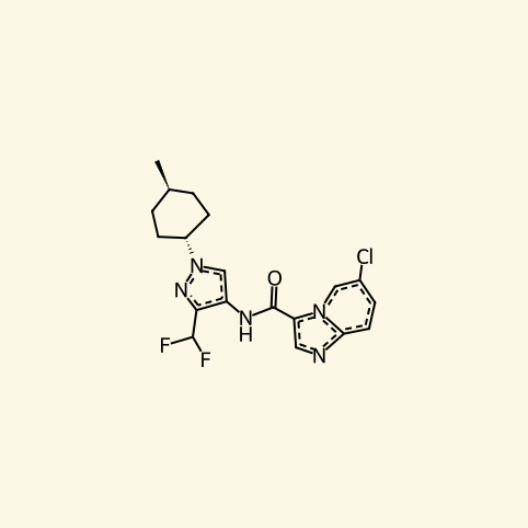 C[C@H]1CC[C@H](n2cc(NC(=O)c3cnc4ccc(Cl)cn34)c(C(F)F)n2)CC1